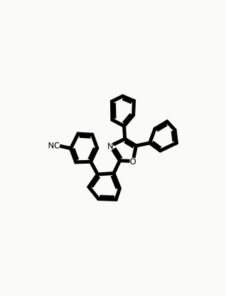 N#Cc1cccc(-c2ccccc2-c2nc(-c3ccccc3)c(-c3ccccc3)o2)c1